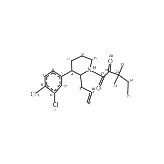 C=CCC1C(c2ccc(Cl)c(Cl)c2)CCCN1C(=O)C(=O)C(C)(C)CC